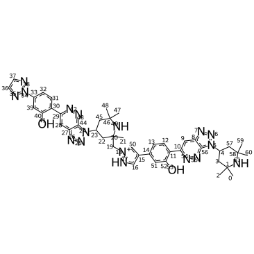 CC1(C)CC(n2nnc3cc(-c4ccc(-c5c[nH][n+](CC6(C)CC(n7nnc8cc(-c9ccc(-n%10nccn%10)cc9O)nnc87)CC(C)(C)N6)c5)cc4O)nnc32)CC(C)(C)N1